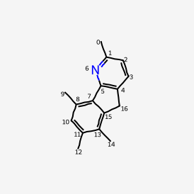 Cc1ccc2c(n1)-c1c(C)cc(C)c(C)c1C2